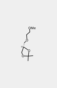 COCCOC[C@H]1COC(C)(C)O1